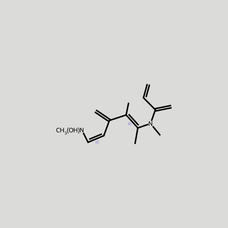 C=CC(=C)N(C)/C(C)=C(\C)C(=C)/C=C\N(C)O